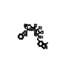 CCC(NC(=O)[C@H](CC(C)C)NC(=O)NCc1ccccc1)C(=O)C(=O)NCc1ccc2cnn(C)c2c1